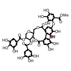 COC(=O)c1cc(O)c(O)c(O)c1Oc1cc2c(c(O)c1O)-c1c(cc(O)c(O)c1O)C(=O)O[C@@H]1C(COC2=O)OCC(OC(=O)c2cc(O)c(O)c(O)c2)C1OC(=O)c1cc(O)c(O)c(O)c1